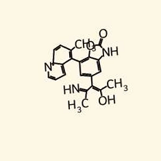 CC(=N)/C(=C(/C)O)c1cc(-c2c(C)ccc3ncccc23)c2oc(=O)[nH]c2c1